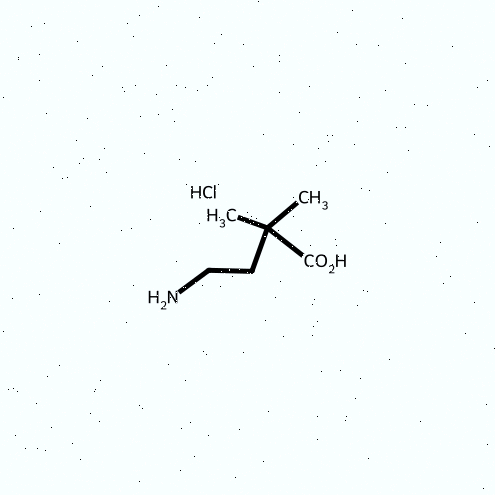 CC(C)(CCN)C(=O)O.Cl